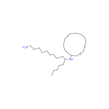 CCCCCC(CCCCCCCCCN)NC1CCCCCCCCCCCCCC1